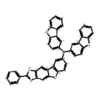 c1ccc(-c2nc3cc4oc5ccc(N(c6ccc7oc8ccccc8c7c6)c6ccc7oc8ccccc8c7c6)cc5c4cc3o2)cc1